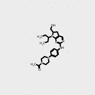 CCC(CC)N1c2nc(Nc3ccc(N4CCN(C(C)=O)CC4)cc3)ncc2CC1CO